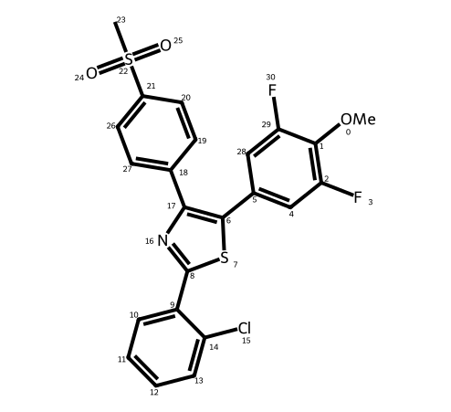 COc1c(F)cc(-c2sc(-c3ccccc3Cl)nc2-c2ccc(S(C)(=O)=O)cc2)cc1F